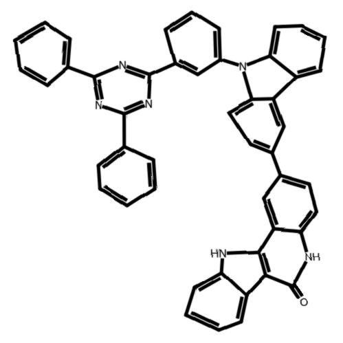 O=c1[nH]c2ccc(-c3ccc4c(c3)c3ccccc3n4-c3cccc(-c4nc(-c5ccccc5)nc(-c5ccccc5)n4)c3)cc2c2[nH]c3ccccc3c12